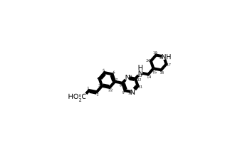 O=C(O)C=Cc1cccc(-c2cncc(NCC3CCNCC3)n2)c1